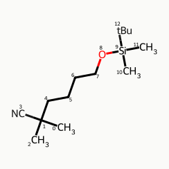 CC(C)(C#N)CCCCO[Si](C)(C)C(C)(C)C